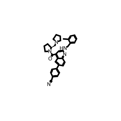 Cc1ccccc1CNc1cc(C(=O)N2CCC[C@H]2CN2CCCC2)c2cc(-c3ccc(C#N)cc3)ccc2n1